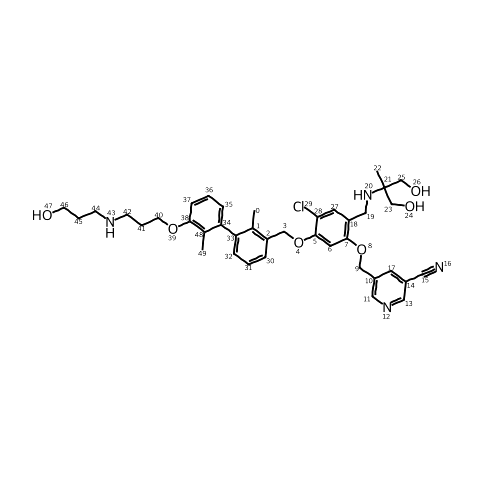 Cc1c(COc2cc(OCc3cncc(C#N)c3)c(CNC(C)(CO)CO)cc2Cl)cccc1-c1cccc(OCCCNCCCO)c1C